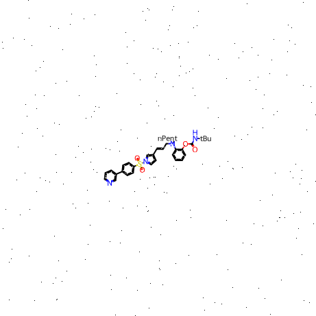 CCCCCN(CC=Cc1ccn(S(=O)(=O)c2ccc(-c3cccnc3)cc2)c1)c1ccccc1OC(=O)NC(C)(C)C